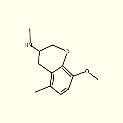 CNC1COc2c(OC)ccc(C)c2C1